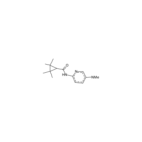 CNc1ccc(NC(=O)C2C(C)(C)C2(C)C)nc1